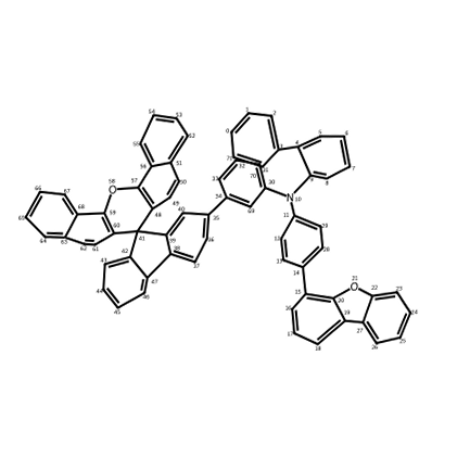 c1ccc(-c2ccccc2N(c2ccc(-c3cccc4c3oc3ccccc34)cc2)c2cccc(-c3ccc4c(c3)C3(c5ccccc5-4)c4ccc5ccccc5c4Oc4c3ccc3ccccc43)c2)cc1